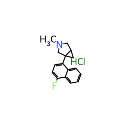 CN1CC2CC2(c2ccc(F)c3ccccc23)C1.Cl